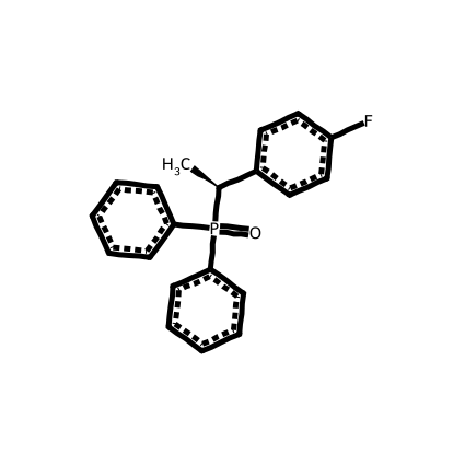 C[C@@H](c1ccc(F)cc1)P(=O)(c1ccccc1)c1ccccc1